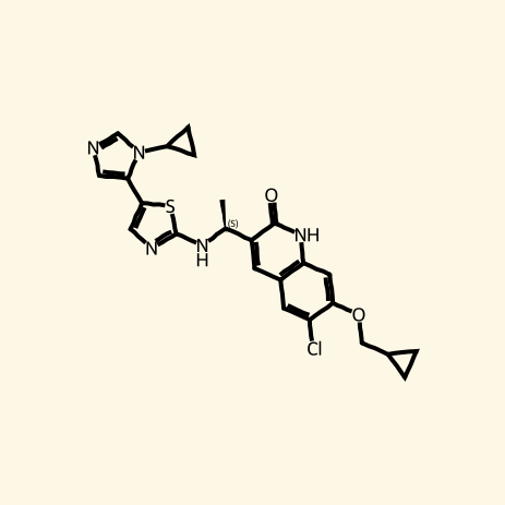 C[C@H](Nc1ncc(-c2cncn2C2CC2)s1)c1cc2cc(Cl)c(OCC3CC3)cc2[nH]c1=O